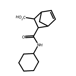 O=C(O)C1C2C=CC(C2)C1C(=O)NC1CCCCC1